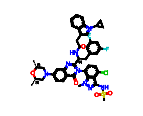 C[C@@H]1CN(c2ccc3c(=O)n(-c4ccc(Cl)c5c(NS(C)(=O)=O)nn(C)c45)c([C@H](Cc4cc(F)cc(F)c4)NC(=O)Cc4cn(C5CC5)c5ccccc45)nc3c2)C[C@H](C)O1